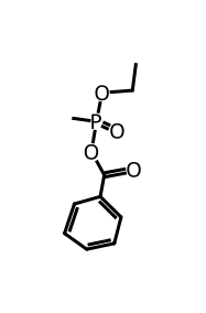 CCOP(C)(=O)OC(=O)c1ccccc1